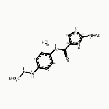 CCOC(=O)NNc1ccc(NC(=O)c2csc(NC(C)=O)n2)cc1.Cl